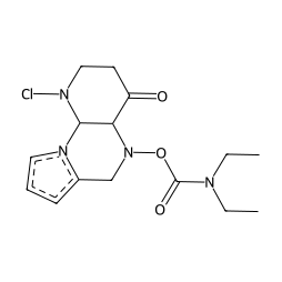 CCN(CC)C(=O)ON1Cc2cccn2C2C1C(=O)CCN2Cl